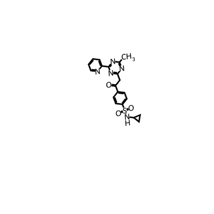 Cc1nc(CC(=O)c2ccc(S(=O)(=O)NC3CC3)cc2)nc(-c2ccccn2)n1